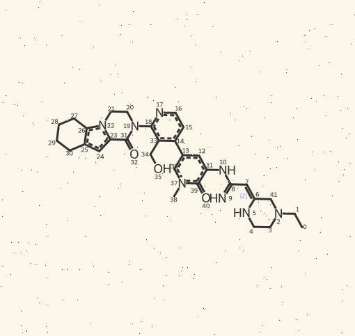 CCN1CCN/C(=C\C(=N)Nc2cc(-c3ccnc(N4CCn5c(cc6c5CCCC6)C4=O)c3CO)cn(C)c2=O)C1